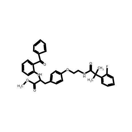 COC(=O)C(Cc1ccc(OCCNC(=O)C(C)(C)c2ccccc2F)cc1)Nc1ccccc1C(=O)c1ccccc1